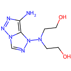 Nc1nnn2cnn(N(CCO)CCO)c12